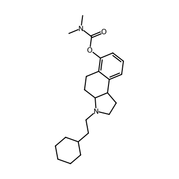 CN(C)C(=O)Oc1cccc2c1CCC1C2CCN1CCC1CCCCC1